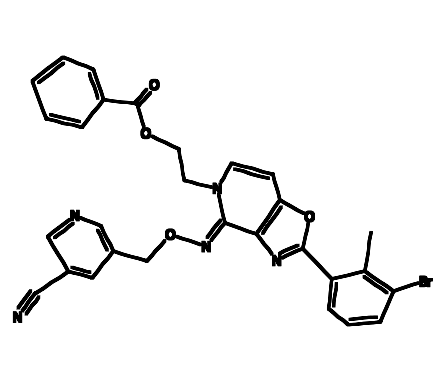 Cc1c(Br)cccc1-c1nc2/c(=N/OCc3cncc(C#N)c3)n(CCOC(=O)c3ccccc3)ccc2o1